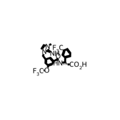 Cn1ccn(Cc2cc(OC(F)(F)F)cc(C(=O)N[C@@H](CC(=O)O)c3cccc(C(F)(F)F)c3)c2)c1=N